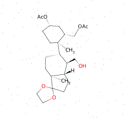 CC(=O)OC[C@H]1C[C@@H](OC(C)=O)CC[C@]1(C)[C@H]1CC[C@@]2(C)[C@@H](CCC23OCCO3)[C@@H]1CO